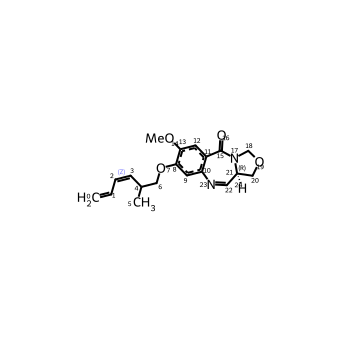 C=C/C=C\C(C)COc1cc2c(cc1OC)C(=O)N1COC[C@H]1C=N2